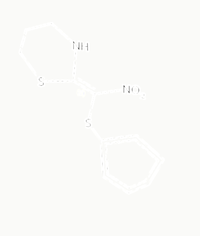 O=[N+]([O-])/C(Sc1ccccc1)=C1\NCCCS1